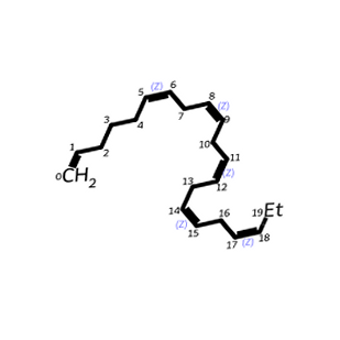 C=CCCC/C=C\C/C=C\C/C=C\C/C=C\C/C=C\CC